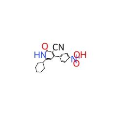 N#Cc1c(-c2ccc([N+](=O)O)cc2)cc(C2CCCCC2)[nH]c1=O